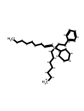 CCCCCCCC=C[Si](CCCCCCC)(CCc1ccccc1)C1CCCCC1